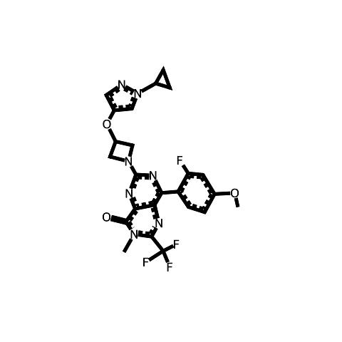 COc1ccc(-c2nc(N3CC(Oc4cnn(C5CC5)c4)C3)nc3c(=O)n(C)c(C(F)(F)F)nc23)c(F)c1